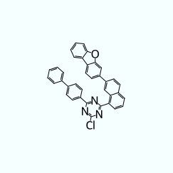 Clc1nc(-c2ccc(-c3ccccc3)cc2)nc(-c2cccc3ccc(-c4ccc5c(c4)oc4ccccc45)cc23)n1